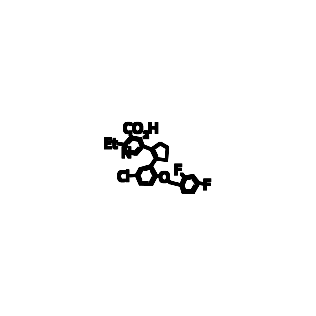 CCc1ncc(C2=C(c3cc(Cl)ccc3OCc3ccc(F)cc3F)CCC2)cc1C(=O)O